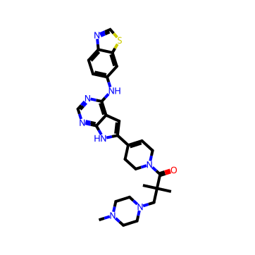 CN1CCN(CC(C)(C)C(=O)N2CC=C(c3cc4c(Nc5ccc6ncsc6c5)ncnc4[nH]3)CC2)CC1